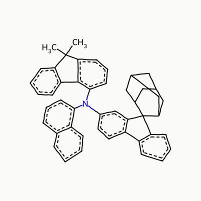 CC1(C)c2ccccc2-c2c(N(c3ccc4c(c3)C3(c5ccccc5-4)C4CC5CC(C4)CC3C5)c3cccc4ccccc34)cccc21